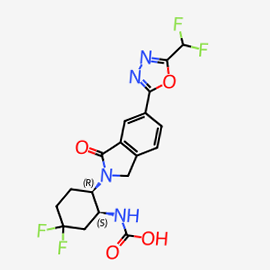 O=C(O)N[C@H]1CC(F)(F)CC[C@H]1N1Cc2ccc(-c3nnc(C(F)F)o3)cc2C1=O